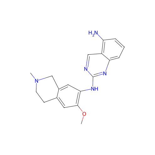 COc1cc2c(cc1Nc1ncc3c(N)cccc3n1)CN(C)CC2